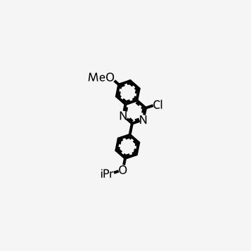 COc1ccc2c(Cl)nc(-c3ccc(OC(C)C)cc3)nc2c1